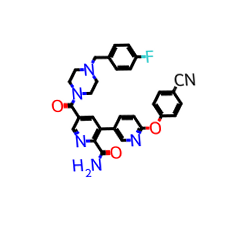 N#Cc1ccc(Oc2ccc(-c3cc(C(=O)N4CCN(Cc5ccc(F)cc5)CC4)cnc3C(N)=O)cn2)cc1